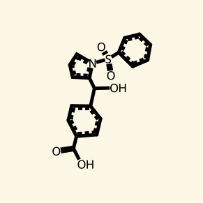 O=C(O)c1ccc(C(O)c2cccn2S(=O)(=O)c2ccccc2)cc1